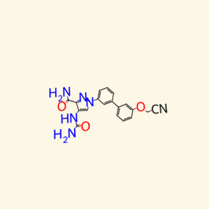 N#CCOc1cccc(-c2cccc(-n3cc(NC(N)=O)c(C(N)=O)n3)c2)c1